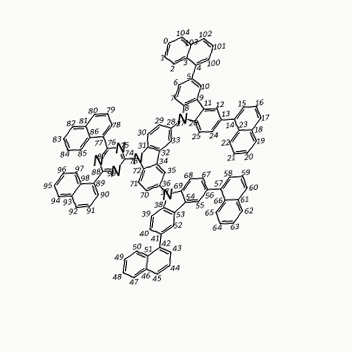 c1ccc2c(-c3ccc4c(c3)c3cc(-c5cccc6ccccc56)ccc3n4-c3ccc4c(c3)c3cc(-n5c6ccc(-c7cccc8ccccc78)cc6c6cc(-c7cccc8ccccc78)ccc65)ccc3n4-c3nc(-c4cccc5ccccc45)nc(-c4cccc5ccccc45)n3)cccc2c1